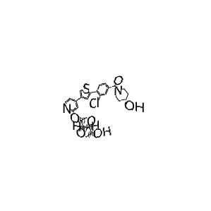 O=C(c1ccc(-c2cc(-c3ccnc(O[C@@H]4CO[C@H]5[C@@H]4OC[C@H]5O)c3)cs2)c(Cl)c1)N1CCC(O)CC1